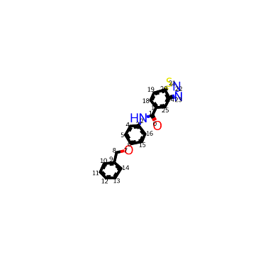 O=C(Nc1ccc(OCc2ccccc2)cc1)c1ccc2snnc2c1